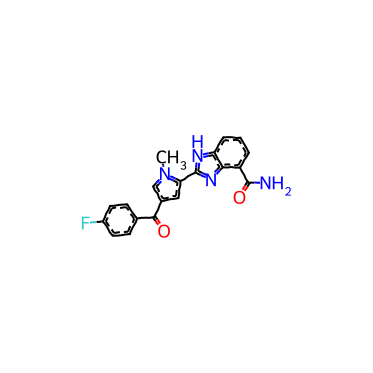 Cn1cc(C(=O)c2ccc(F)cc2)cc1-c1nc2c(C(N)=O)cccc2[nH]1